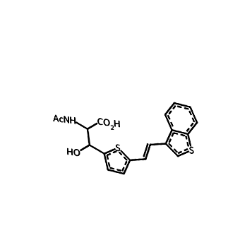 CC(=O)NC(C(=O)O)C(O)c1ccc(C=Cc2csc3ccccc23)s1